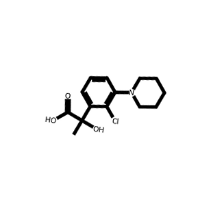 CC(O)(C(=O)O)c1cccc(N2CCCCC2)c1Cl